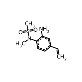 C=Cc1ccc(N(C)S(C)(=O)=O)c(N)c1